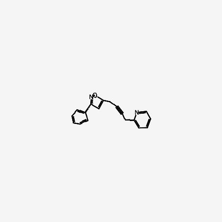 C(#CCc1cc(-c2ccccc2)no1)Cc1ccccn1